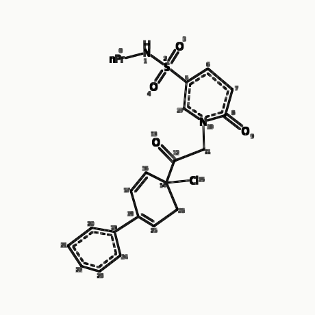 CCCNS(=O)(=O)c1ccc(=O)n(CC(=O)C2(Cl)C=CC(c3ccccc3)=CC2)c1